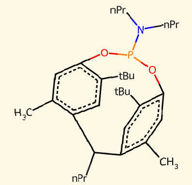 CCCC1c2cc(C(C)(C)C)c(cc2C)OP(N(CCC)CCC)Oc2cc(C)c1cc2C(C)(C)C